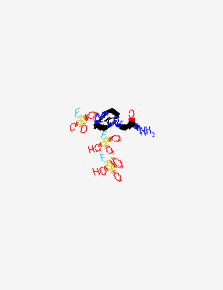 NC(=O)C[N+]12CCN(CC1)CC2.O=S(=O)(O)F.O=S(=O)(O)F.O=S(=O)([O-])F